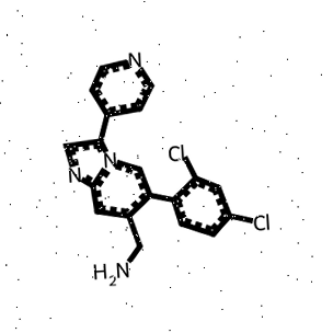 NCc1cc2ncc(-c3ccncc3)n2cc1-c1ccc(Cl)cc1Cl